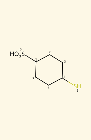 O=S(=O)(O)C1CCC(S)CC1